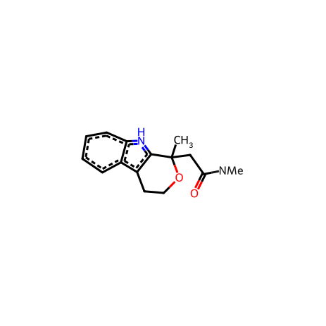 CNC(=O)CC1(C)OCCc2c1[nH]c1ccccc21